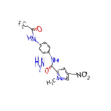 Cn1cc([N+](=O)[O-])cc1C(=O)Nc1ccc(NC(=O)C(F)(F)F)cc1N